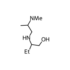 CCC(CO)NCC(C)NC